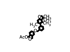 CC(=O)O[C@@H]1OCc2cc(OCc3cccc(-c4c(C)cc5c(c4C)C(C)(C)CO5)c3)ccc21